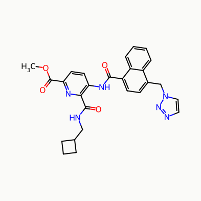 COC(=O)c1ccc(NC(=O)c2ccc(Cn3ccnn3)c3ccccc23)c(C(=O)NCC2CCC2)n1